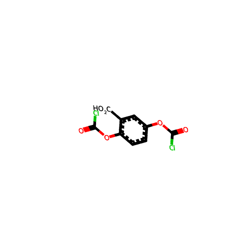 O=C(Cl)Oc1ccc(OC(=O)Cl)c(C(=O)O)c1